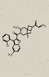 C=CC(=O)N1CC2(C[C@H](C)N(C(=O)c3nn4ccc(C)cc4c3-c3ccccc3Cl)CC2(F)F)C1